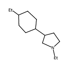 CCC1CCC(C2CCN(CC)C2)CC1